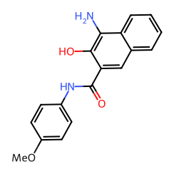 COc1ccc(NC(=O)c2cc3ccccc3c(N)c2O)cc1